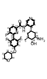 C[C@H]1C[C@@H](c2ccncc2NC(=O)c2ccc(F)c(-c3c(F)cc(O[C@@H]4CCCOC4)cc3F)n2)C[C@@H](N)[C@@H]1O